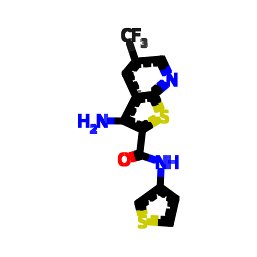 Nc1c(C(=O)Nc2ccsc2)sc2ncc(C(F)(F)F)cc12